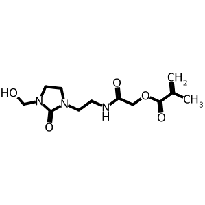 C=C(C)C(=O)OCC(=O)NCCN1CCN(CO)C1=O